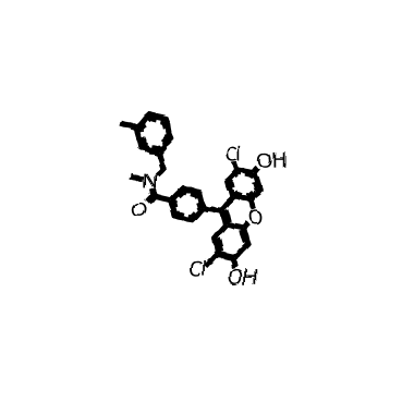 Cc1cccc(CN(C)C(=O)c2ccc(C3=C4C=C(Cl)C(O)C=C4Oc4cc(O)c(Cl)cc43)cc2)c1